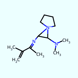 C=C(C)/C(C)=N/C1C(N(C)C)[N+]12CCCC2